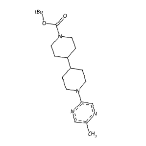 Cc1cnc(N2CCC(C3CCN(C(=O)OC(C)(C)C)CC3)CC2)cn1